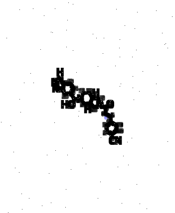 N#Cc1ccc(/C=C/C(=O)N2C[C@H]3CCN(C(O)c4ccc5[nH]nnc5c4)C[C@@H]3C2)cc1